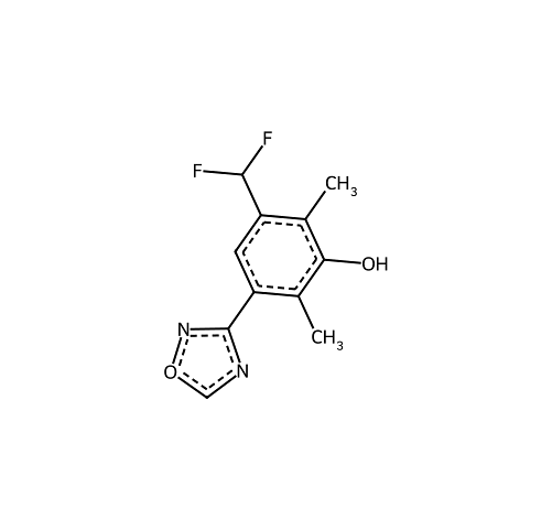 Cc1c(-c2ncon2)cc(C(F)F)c(C)c1O